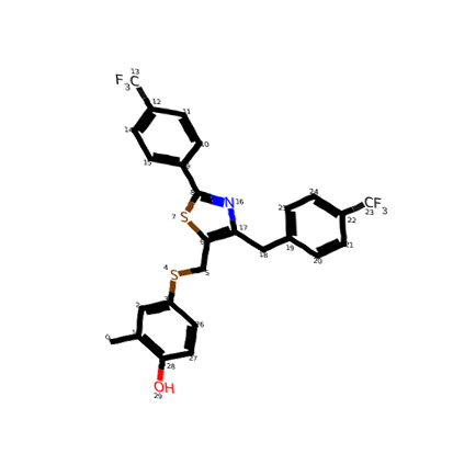 Cc1cc(SCc2sc(-c3ccc(C(F)(F)F)cc3)nc2Cc2ccc(C(F)(F)F)cc2)ccc1O